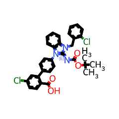 CC(C)(C)OC(=O)/N=c1\n(Cc2ccccc2Cl)c2ccccc2n1-c1ccc(-c2cc(Cl)ccc2C(=O)O)cc1